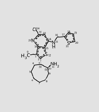 Cc1c([C@H]2CCCCCC[C@@H]2N)sc2c(NCc3cccs3)cc(Cl)nc12